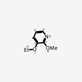 CCOc1c[c]cnc1OC